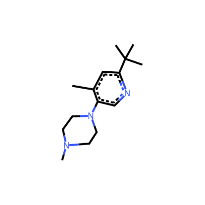 Cc1cc(C(C)(C)C)ncc1N1CCN(C)CC1